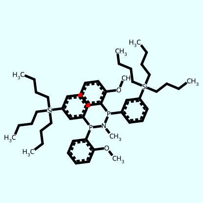 CCCC[Si](CCCC)(CCCC)c1cccc(P(c2ccccc2OC)N(C)P(c2cccc([Si](CCCC)(CCCC)CCCC)c2)c2ccccc2OC)c1